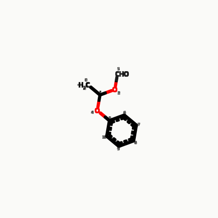 [CH2]C(OC=O)Oc1ccccc1